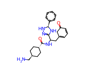 NC[C@H]1CC[C@H](C(=O)NC(CC2=CC=CC(=O)C2)C2=NN[C@@H](c3ccccc3)N2)CC1